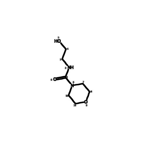 O=C(NCCO)N1CCOCC1